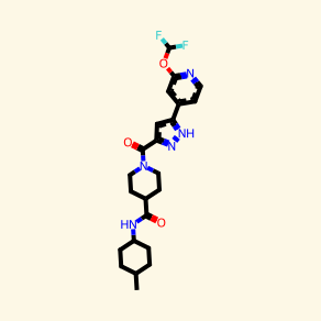 CC1CCC(NC(=O)C2CCN(C(=O)c3cc(-c4ccnc(OC(F)F)c4)[nH]n3)CC2)CC1